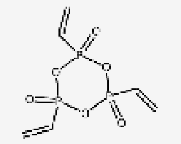 C=CP1(=O)OP(=O)(C=C)OP(=O)(C=C)O1